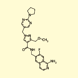 COCc1nn(Cc2cnc(N3CCCC3)nc2)cc1C(=O)NCc1cc2ccnc(N)c2cc1F